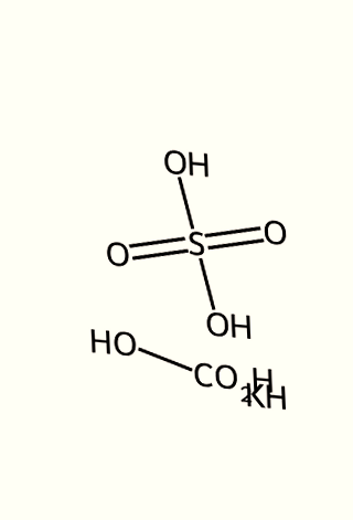 O=C(O)O.O=S(=O)(O)O.[KH]